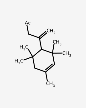 C=C(CC(C)=O)C1C(C)(C)C=C(C)CC1(C)C